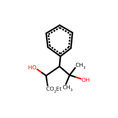 CCOC(=O)C(O)C(c1ccccc1)C(C)(C)O